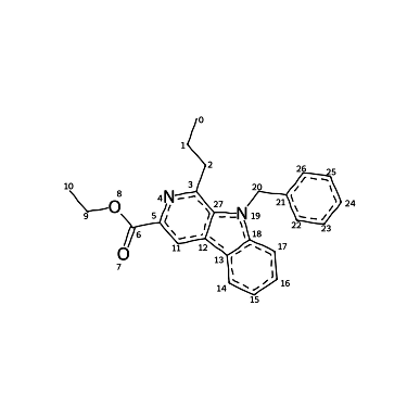 CCCc1nc(C(=O)OCC)cc2c3ccccc3n(Cc3ccccc3)c12